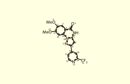 COc1cc2c(=O)[nH]c3cc(-c4ccnc(C(F)(F)F)c4)nn3c2cc1OC